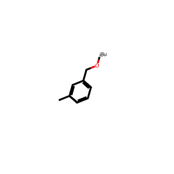 [CH2]C(CC)OCc1cccc(C)c1